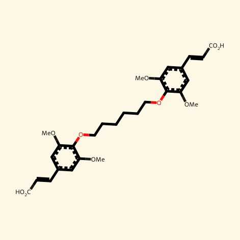 COc1cc(/C=C/C(=O)O)cc(OC)c1OCCCCCCOc1c(OC)cc(/C=C/C(=O)O)cc1OC